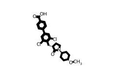 CO[C@H]1CC[C@H](N2CC[C@@H](Cc3c(Cl)cc(-c4ccc(C(=O)O)cc4)cc3Cl)C2=O)CC1